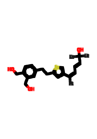 CC/C(=C/C=C/C(O)(CC)CC)c1csc(CCc2ccc(CO)c(CO)c2)c1